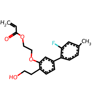 C=CC(=O)OCCOc1cc(-c2ccc(C)cc2F)ccc1CCO